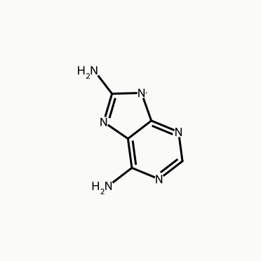 NC1=Nc2c(N)ncnc2[N]1